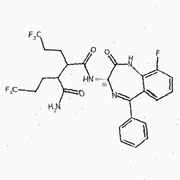 NC(=O)C(CCC(F)(F)F)C(CCC(F)(F)F)C(=O)N[C@H]1N=C(c2ccccc2)c2cccc(F)c2NC1=O